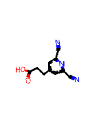 N#Cc1cc(CCC(=O)O)cc(C#N)n1